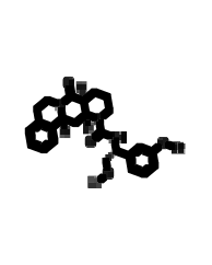 CCOC[C@H](NC(=O)N1CCC[C@@H]2C(=O)N3CCc4ccccc4[C@H]3C[C@@H]21)c1cccc(OCC)c1